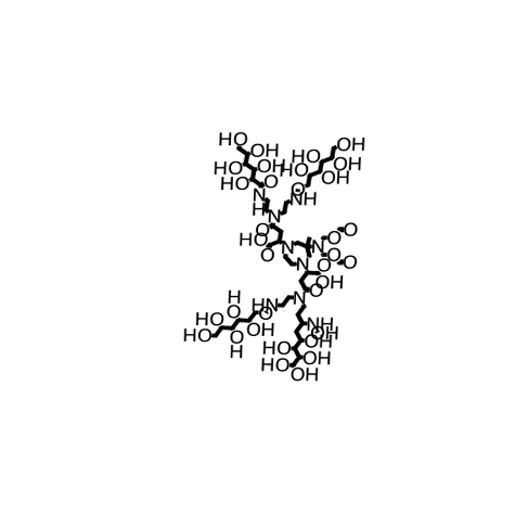 CC1(N(COC=O)COC=O)CN(C(CC(=O)N(CCNOCC(O)C(O)C(O)C(O)CO)CCNC(=O)C(O)C(O)C(O)C(O)CO)C(=O)O)CCN(C(CC(=O)N(CCNOCC(O)C(O)C(O)C(O)CO)CCC(CC(O)C(O)C(O)C(O)O)NO)C(=O)O)C1